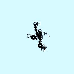 Cn1c(=O)n(CCOCCO)c(=O)c2c1nc(OCc1cccc(OC(F)(F)F)c1)n2Cc1ccc(Cl)cc1